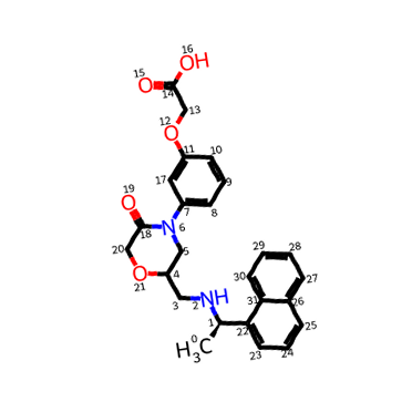 C[C@@H](NCC1CN(c2cccc(OCC(=O)O)c2)C(=O)CO1)c1cccc2ccccc12